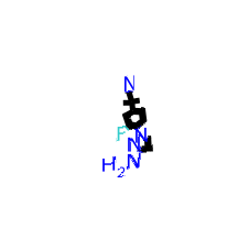 CC(C)(C#N)c1ccc(-n2ccc(N)n2)c(F)c1